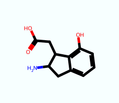 NC1Cc2cccc(O)c2C1CC(=O)O